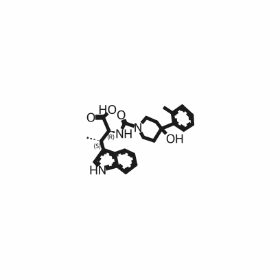 Cc1ccccc1C1(O)CCN(C(=O)N[C@@H](C(=O)O)[C@@H](C)c2c[nH]c3ccccc23)CC1